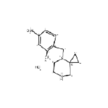 Cl.O=[N+]([O-])c1ccc(CN2CCNCC23CC3)c(C(F)(F)F)c1